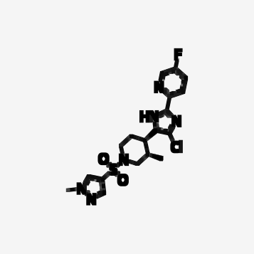 C[C@H]1CN(S(=O)(=O)c2cnn(C)c2)CC[C@H]1c1[nH]c(-c2ccc(F)cn2)nc1Cl